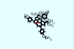 COc1ccc(-c2cccc3c2C=C(C(C)(C)C)[CH]3[Zr+2]2([CH]3C(C(C)(C)C)=Cc4c(-c5ccc(OC)cc5)cccc43)[CH]3CCCC[CH]32)cc1.[Cl-].[Cl-]